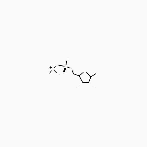 CC1OC(COP(=O)(O)OP(=O)(O)O)[C@@H](O)[C@H]1O